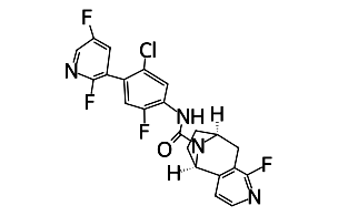 O=C(Nc1cc(Cl)c(-c2cc(F)cnc2F)cc1F)N1[C@H]2CC[C@@H]1c1ccnc(F)c1C2